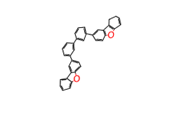 C1=Cc2oc3ccc(-c4cccc(-c5cccc(-c6ccc7oc8ccccc8c7c6)c5)c4)cc3c2CC1